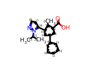 Cc1c(C(=O)O)cc(-c2ccccc2)cc1-c1ccnn1C(C)C